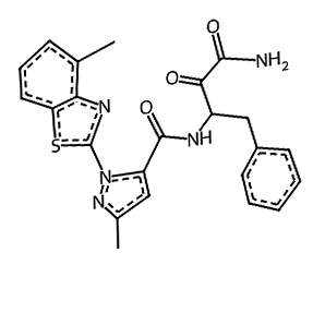 Cc1cc(C(=O)NC(Cc2ccccc2)C(=O)C(N)=O)n(-c2nc3c(C)cccc3s2)n1